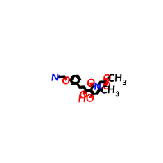 COC(=O)Cn1c(C)cc(O)c(C(=O)C=Cc2cccc(OCC#N)c2)c1=O